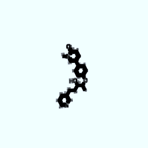 CC(Oc1ccc(-c2ccc(=O)n(C)c2)cc1)C(O)CCc1cccnc1